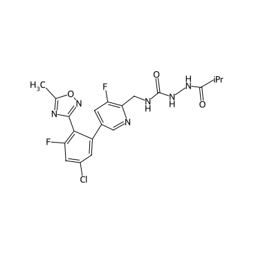 Cc1nc(-c2c(F)cc(Cl)cc2-c2cnc(CNC(=O)NNC(=O)C(C)C)c(F)c2)no1